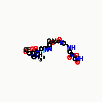 COc1cc2c(Cc3ccc(NC(=O)c4c(C)n(C)c5ccc(OC(F)(F)F)cc5c4=O)cc3F)ncnc2cc1OCCCC(=O)N1CCC(CCNc2ccc3c(c2)CN(C2CCC(=O)NC2=O)C3=O)CC1